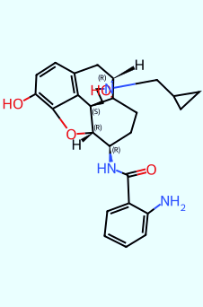 Nc1ccccc1C(=O)N[C@@H]1CCC2(O)[C@H]3Cc4ccc(O)c5c4[C@@]2(CCN3CC2CC2)[C@H]1O5